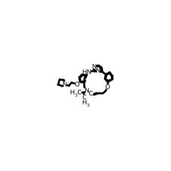 CC(C)N1C/C=C/CCOc2cccc(c2)-c2ccnc(n2)Nc2ccc(OCCN3CCCC3)c(c2)C1